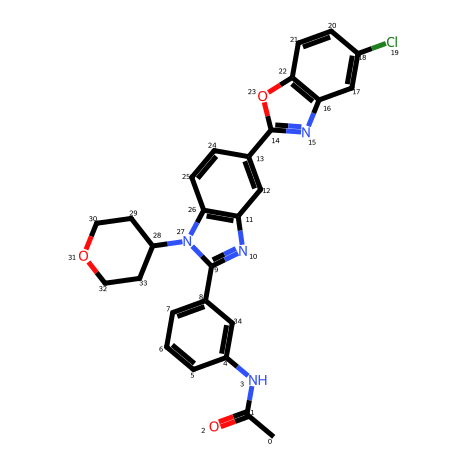 CC(=O)Nc1cccc(-c2nc3cc(-c4nc5cc(Cl)ccc5o4)ccc3n2C2CCOCC2)c1